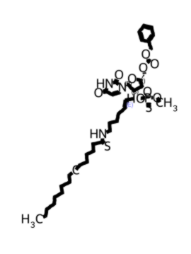 CCCCCCCCCCCCCCCC(=S)NCCCC/C=C/C[C@H]1C(OP(O)(=S)OC)[C@@H](COC(=O)OCc2ccccc2)O[C@H]1n1ccc(=O)[nH]c1=O